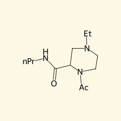 CCCNC(=O)C1CN(CC)CCN1C(C)=O